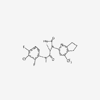 CN(C(=O)C1CNC(=O)N1c1cc(C(F)(F)F)c2c(n1)CCC2)c1ccc(F)c(Cl)c1F